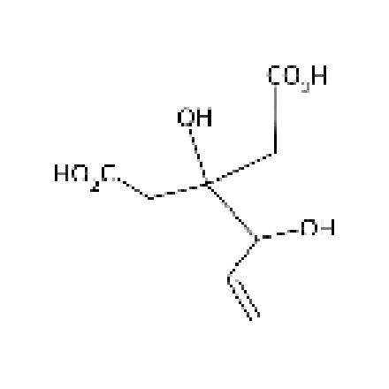 C=CC(O)C(O)(CC(=O)O)CC(=O)O